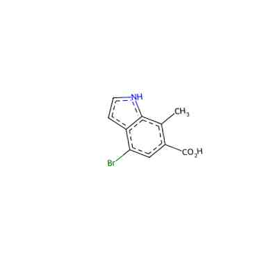 Cc1c(C(=O)O)cc(Br)c2cc[nH]c12